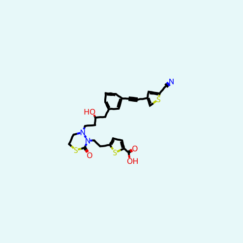 N#Cc1cc(C#Cc2cccc(CC(O)CCN3CCSC(=O)N3CCc3ccc(C(=O)O)s3)c2)cs1